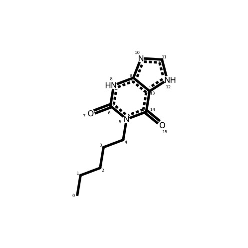 CCCCCn1c(=O)[nH]c2nc[nH]c2c1=O